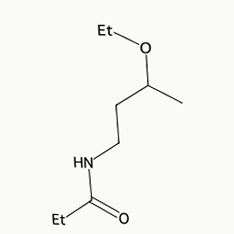 CCOC(C)CCNC(=O)CC